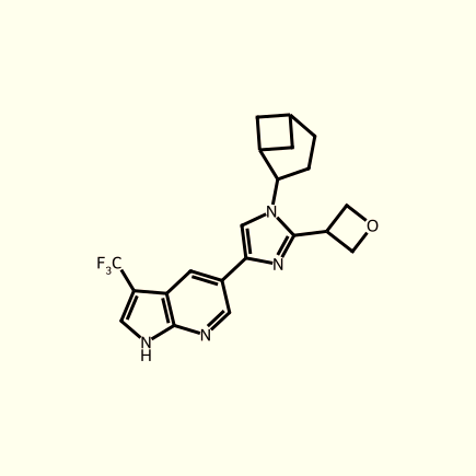 FC(F)(F)c1c[nH]c2ncc(-c3cn(C4CCC5CC4C5)c(C4COC4)n3)cc12